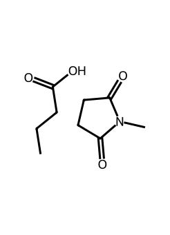 CCCC(=O)O.CN1C(=O)CCC1=O